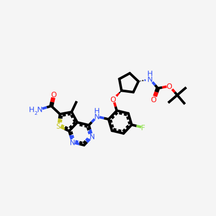 Cc1c(C(N)=O)sc2ncnc(Nc3ccc(F)cc3O[C@H]3CC[C@H](NC(=O)OC(C)(C)C)C3)c12